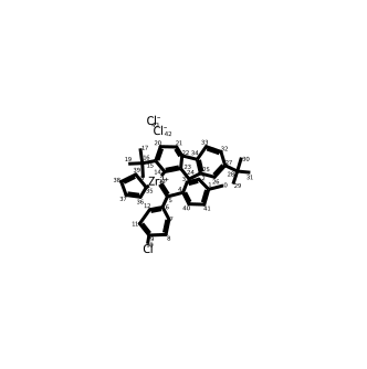 Cc1ccc([C](c2ccc(Cl)cc2)=[Zr+2]([c]2c(C(C)(C)C)ccc3c2Cc2cc(C(C)(C)C)ccc2-3)[CH]2C=CC=C2)cc1.[Cl-].[Cl-]